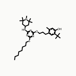 CCCCCCCCSc1nc(NC2CC(C)(C)N(C)C(C)(C)C2)nc(OCCCc2cc(C(C)(C)C)c(O)cc2C)n1